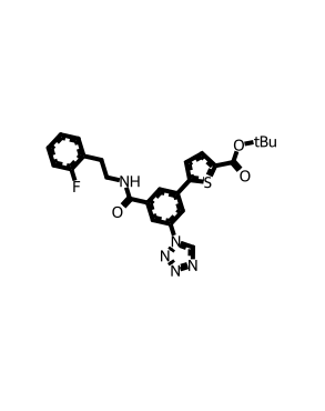 CC(C)(C)OC(=O)c1ccc(-c2cc(C(=O)NCCc3ccccc3F)cc(-n3cnnn3)c2)s1